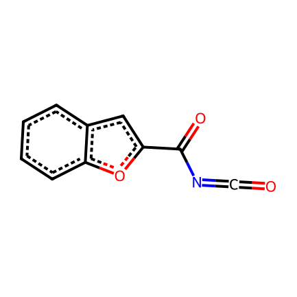 O=C=NC(=O)c1cc2ccccc2o1